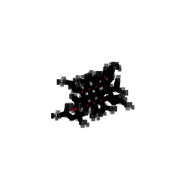 CCCCC(CC)(OOC(CC)(C(=O)OC(C)(C)CC(C)O)C(C(CC)(CCCC)C(=O)O)(C(CC)(CCCC)C(=O)O)C(CC)(C(CC)(CCCC)C(=O)O)C(CC)(CCCC)C(=O)O)C(=O)O